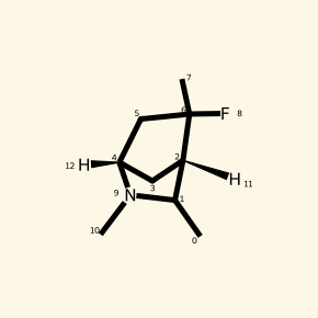 CC1[C@@H]2C[C@@H](CC2(C)F)N1C